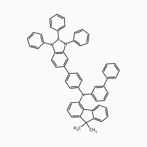 CC1(C)c2ccccc2-c2c(N(c3ccc(-c4ccc5c(c4)N(c4ccccc4)P(c4ccccc4)N5c4ccccc4)cc3)c3cccc(-c4ccccc4)c3)cccc21